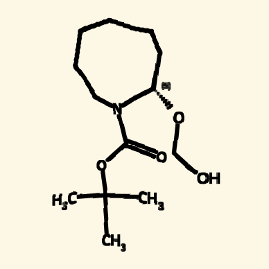 CC(C)(C)OC(=O)N1CCCCCC[C@@H]1OCO